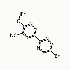 CC(C)Oc1ncc(-c2ncc(Br)cn2)cc1C#N